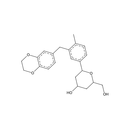 Cc1ccc(C2CC(O)CC(CO)O2)cc1Cc1ccc2c(c1)OCCO2